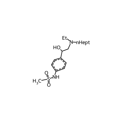 CCCCCCCN(CC)CC(O)c1ccc(NS(C)(=O)=O)cc1